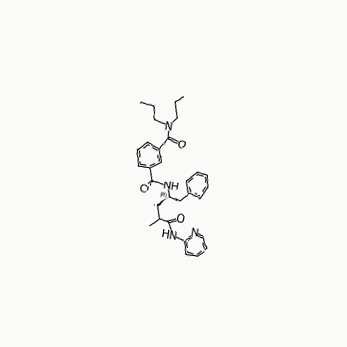 CCCN(CCC)C(=O)c1cccc(C(=O)N[C@H]([CH]C(C)C(=O)Nc2ccccn2)Cc2ccccc2)c1